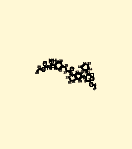 CCOC(=O)CN(C(=O)c1ccccc1)c1ccc2c(c1)CCCN2C(=O)CCc1ccc(C(=N)NC(=O)OCC)cc1